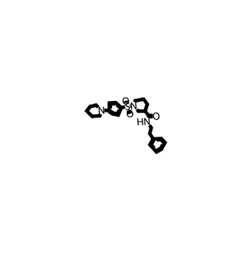 O=C(NCCc1ccccc1)C1CCCN(S(=O)(=O)c2ccc(N3CCCCC3)cc2)C1